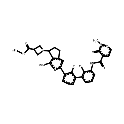 CCCOC(=O)C1CN(C2CCc3cc(-c4cccc(-c5cccc(NC(=O)c6ccnn(C)c6=O)c5Cl)c4Cl)nc(OC)c32)C1